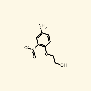 Nc1ccc(OCCO)c([N+](=O)[O-])c1